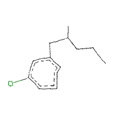 CCCC(C)Cc1cccc(Cl)c1